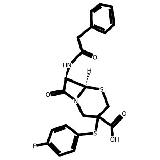 O=C(Cc1ccccc1)N[C@@H]1C(=O)N2CC(Sc3ccc(F)cc3)(C(=O)O)CS[C@H]12